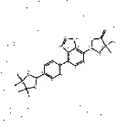 C=C1OB(c2ccc(-c3ccc(B4OC(C)(C)C(C)(C)O4)cc3)c3ccsc23)OC1(C)C